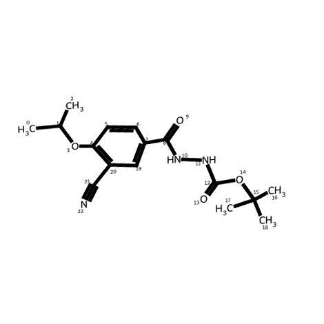 CC(C)Oc1ccc(C(=O)NNC(=O)OC(C)(C)C)cc1C#N